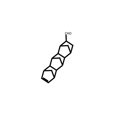 O=CC1CC2CC1C1C3CC(C4C5C=CC(C5)C34)C21